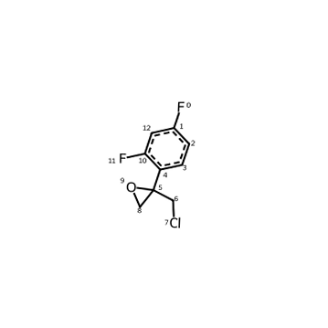 Fc1ccc(C2(CCl)CO2)c(F)c1